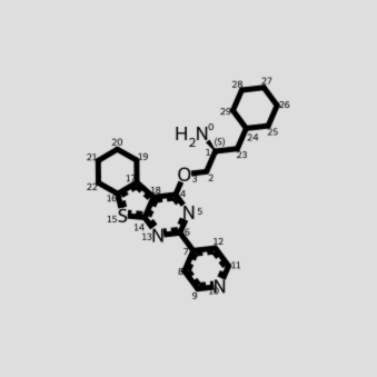 N[C@H](COc1nc(-c2ccncc2)nc2sc3c(c12)CCCC3)CC1CCCCC1